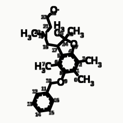 Cc1c(C)c2c(c(C)c1OCc1ccccc1)C(CN(C)CC[O])C(C)(C)O2